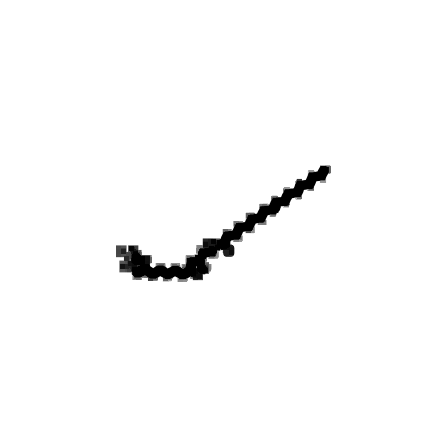 CCCCCCCCC=CCCCCCCCC(=O)NCCn1cc(CCCCCc2c[nH]c(N)n2)nn1